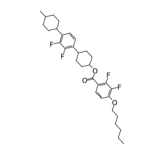 CCCCCCOc1ccc(C(=O)OC2CCC(c3ccc(C4CCC(C)CC4)c(F)c3F)CC2)c(F)c1F